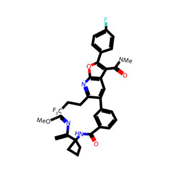 C=C(/N=C\OC)C1(NC(=O)c2cccc(-c3cc4c(C(=O)NC)c(-c5ccc(F)cc5)oc4nc3CCC(F)(F)F)c2)CCC1